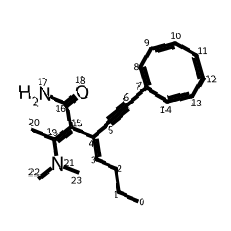 CCC/C=C(C#CC1=C/C=C\C=C/C=C\1)/C(C(N)=O)=C(/C)N(C)C